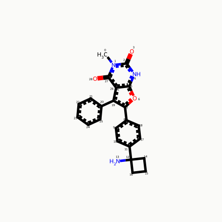 Cn1c(=O)[nH]c2oc(-c3ccc(C4(N)CCC4)cc3)c(-c3ccccc3)c2c1=O